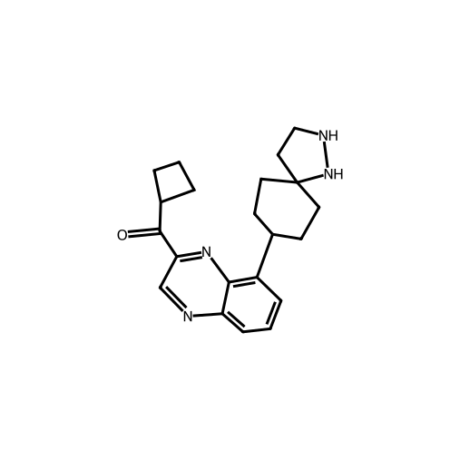 O=C(c1cnc2cccc(C3CCC4(CCNN4)CC3)c2n1)C1CCC1